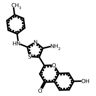 Cc1ccc(Nc2nc(N)c(-c3cc(=O)c4ccc(O)cc4o3)s2)cc1